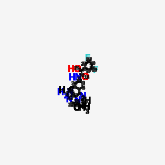 [2H]C([2H])([2H])c1nc(-c2ccc(NC(=O)C(O)c3cc(F)cc(F)c3)cc2C)c2c(N)ncc(C)n12